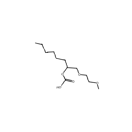 CCCCCCC(COCCOC)OC(=O)O